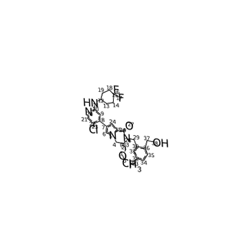 COC[C@H]1Cn2cc(-c3cc(NC4CCC(F)(F)CC4)ncc3Cl)cc2C(=O)N1Cc1cc(F)ccc1CO